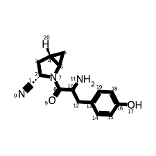 N#C[C@@H]1C[C@@H]2CC2N1C(=O)C(N)Cc1ccc(O)cc1